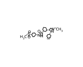 CCn1cc(-c2cccc(NC(=O)Nc3ccc(S(=O)(=O)CC)cc3)c2)c(-c2ccncc2)n1